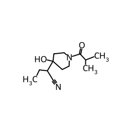 CCC(C#N)C1(O)CCN(C(=O)C(C)C)CC1